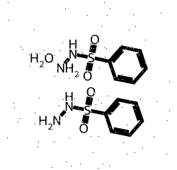 NNS(=O)(=O)c1ccccc1.NNS(=O)(=O)c1ccccc1.O